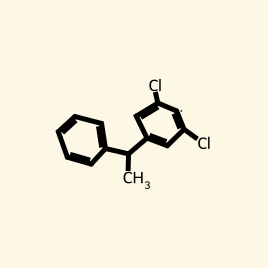 CC(c1ccccc1)c1cc(Cl)[c]c(Cl)c1